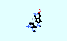 CN(c1ncnc2[nH]ccc12)C1CC2CC(=O)NC[C@@H]2C1